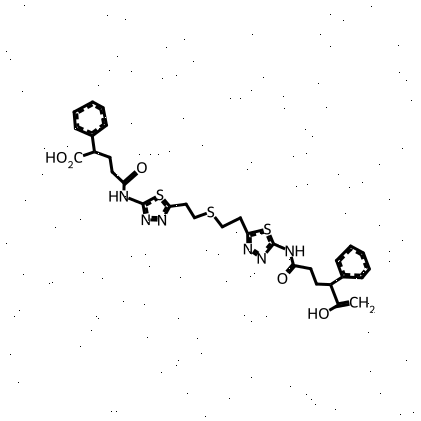 C=C(O)C(CCC(=O)Nc1nnc(CCSCCc2nnc(NC(=O)CCC(C(=O)O)c3ccccc3)s2)s1)c1ccccc1